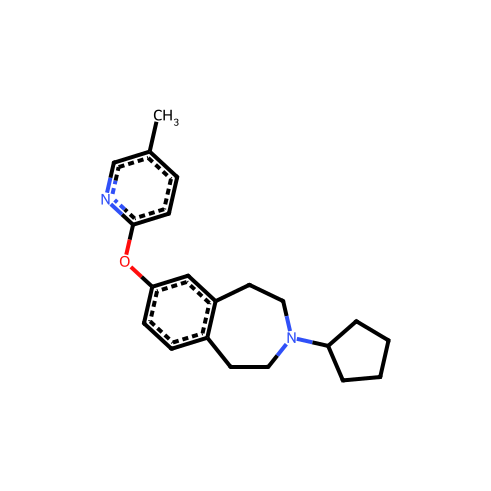 Cc1ccc(Oc2ccc3c(c2)CCN(C2CCCC2)CC3)nc1